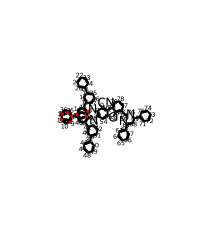 N#Cc1c(-n2c3ccc(-c4ccccc4)cc3c3cc(-c4ccccc4)ccc32)c(-n2c3ccc(-c4ccccc4)cc3c3cc(-c4ccccc4)ccc32)cc2oc3c(-c4nc(-c5ccccc5)cc(-c5ccccc5)n4)cccc3c12